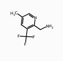 Cc1cnc(CN)c(C(F)(F)F)c1